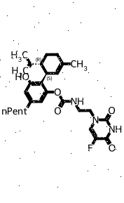 C=C(C)[C@@H]1CCC(C)=C[C@H]1c1c(O)cc(CCCCC)cc1OC(=O)NCCn1cc(F)c(=O)[nH]c1=O